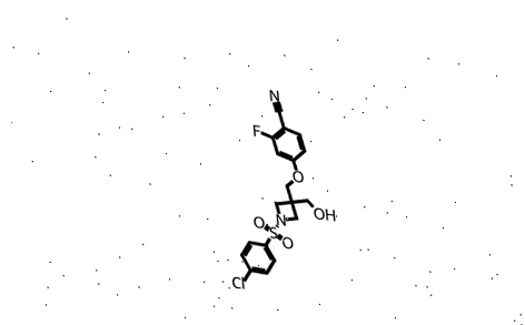 N#Cc1ccc(OCC2(CO)CN(S(=O)(=O)c3ccc(Cl)cc3)C2)cc1F